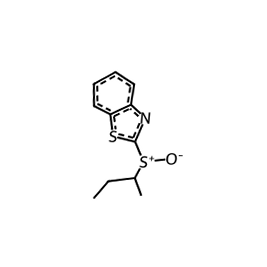 CCC(C)[S+]([O-])c1nc2ccccc2s1